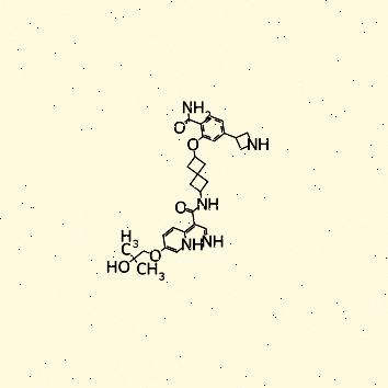 CC(C)(O)COC1=CN/C(=C(\C=N)C(=O)NC2CC3(C2)CC(Oc2cc(C4CNC4)ccc2C(N)=O)C3)C=C1